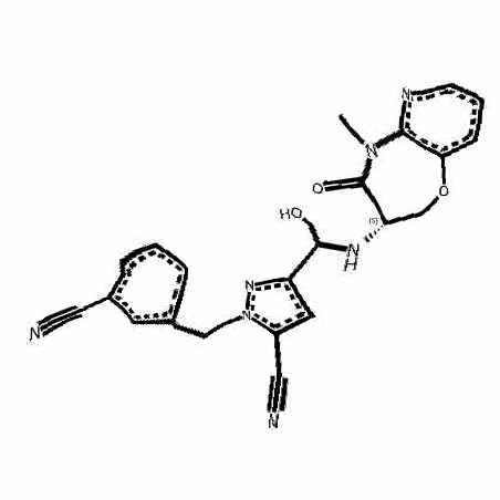 CN1C(=O)[C@@H](NC(O)c2cc(C#N)n(Cc3cccc(C#N)c3)n2)COc2cccnc21